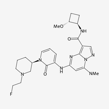 CNc1cc(Nc2cccn([C@@H]3CCCN(CCF)C3)c2=O)nc2c(C(=O)N[C@@H]3CC[C@H]3OC)cnn12